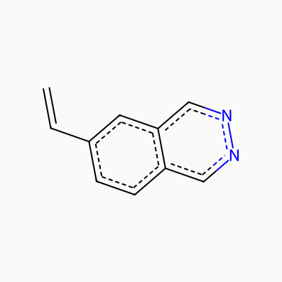 C=Cc1ccc2cnncc2c1